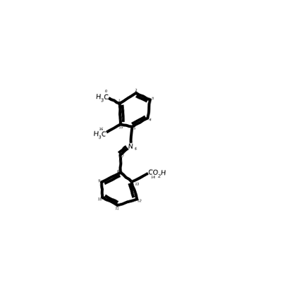 Cc1cccc(N=Cc2ccccc2C(=O)O)c1C